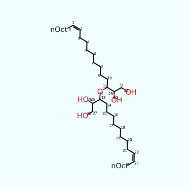 CCCCCCCC/C=C\CCCCCCCCC(OC(CCCCCCCC/C=C\CCCCCCCC)C(O)CO)C(O)CO